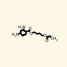 C=CC(=O)OCCCCOC(=O)c1ccc(N)cc1N